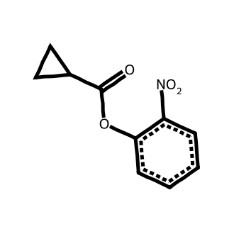 O=C(Oc1ccccc1[N+](=O)[O-])C1CC1